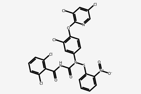 O=C(NC(=O)N(Sc1ccccc1[N+](=O)[O-])c1ccc(Oc2ncc(Cl)cc2Cl)c(Cl)c1)c1c(Cl)cccc1Cl